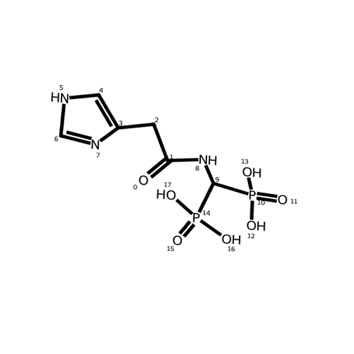 O=C(Cc1c[nH]cn1)NC(P(=O)(O)O)P(=O)(O)O